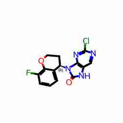 O=c1[nH]c2cnc(Cl)nc2n1[C@@H]1CCOc2c(F)cccc21